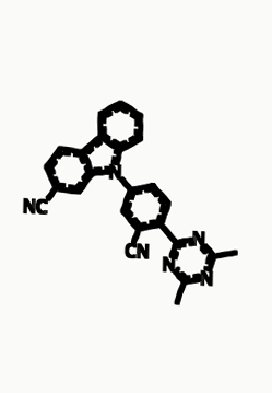 Cc1nc(C)nc(-c2ccc(-n3c4ccccc4c4ccc(C#N)cc43)cc2C#N)n1